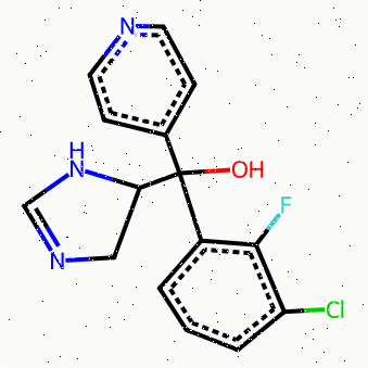 OC(c1ccncc1)(c1cccc(Cl)c1F)C1CN=CN1